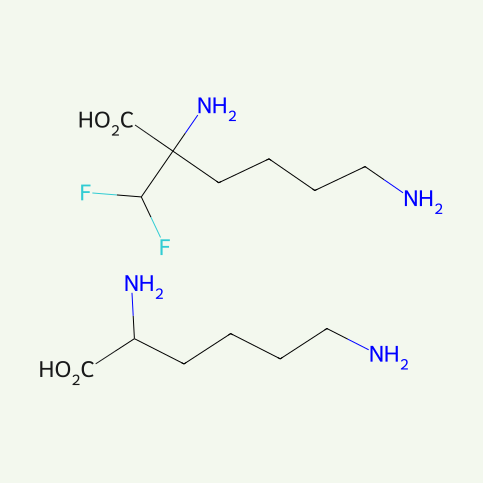 NCCCCC(N)(C(=O)O)C(F)F.NCCCCC(N)C(=O)O